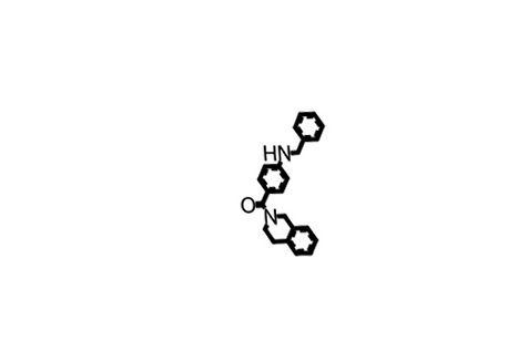 O=C(c1ccc(NCc2ccccc2)cc1)N1CCc2ccccc2C1